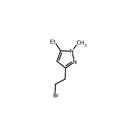 [CH2]Cc1cc(CCBr)nn1C